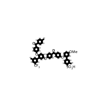 COc1ccc(Oc2ccc(C(=O)c3ccc(Oc4ccc(Oc5ccc(C(=O)c6ccc(C)cc6)cc5)c(-c5cc(C)cc(C(F)(F)F)c5)c4)cc3)cc2)c(-c2ccc(S(=O)(=O)O)c(C)c2)c1